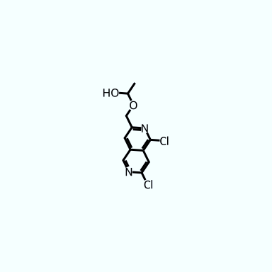 CC(O)OCc1cc2cnc(Cl)cc2c(Cl)n1